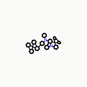 c1ccc(N(c2ccc(-c3cccc4c3-c3ccccc3C43c4ccccc4-c4ccccc43)cc2)c2ccc3c4c2c2ccccc2n4-c2ccccc2C32c3ccccc3-c3ccccc32)cc1